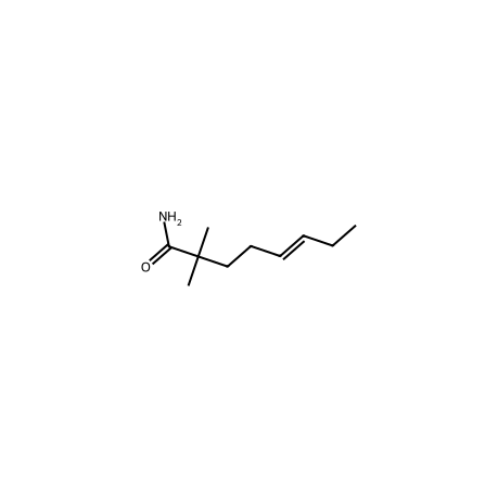 CCC=CCCC(C)(C)C(N)=O